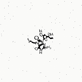 CC[C@H](O)[C@@H]1C[C@@H](O)[C@H](n2c(=O)n(CCSC)c3c(=O)[nH]c(N)nc32)O1